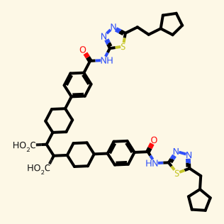 O=C(Nc1nnc(CCC2CCCC2)s1)c1ccc(C2CCC(C(C(=O)O)C(C(=O)O)C3CCC(c4ccc(C(=O)Nc5nnc(CC6CCCC6)s5)cc4)CC3)CC2)cc1